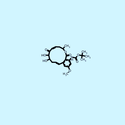 COc1cc2c(c(NC(=O)OC(C)(C)C)c1)C(=O)OC(C)C/C=C\C(=O)C(O)C(O)C/C=C/2